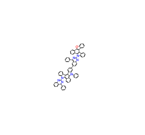 c1ccc(-c2nc(-n3c4ccccc4c4c5c6ccccc6oc5c5ccccc5c43)nc3ccc(-c4ccc5c6c7c8ccccc8n(-c8nc(-c9ccccc9)c9ccccc9n8)c7c7ccccc7c6n(-c6ccccc6)c5c4)cc23)cc1